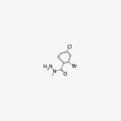 CN(N)C(=O)c1ccc(Cl)cc1Br